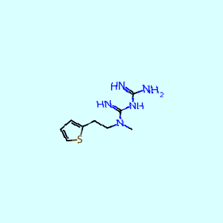 CN(CCc1cccs1)C(=N)NC(=N)N